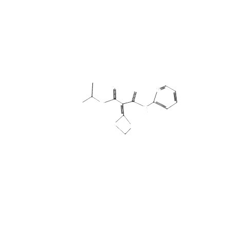 CC(C)OC(=O)C(C(=O)Nc1ccccn1)=C1SCS1